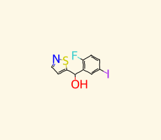 OC(c1ccns1)c1cc(I)ccc1F